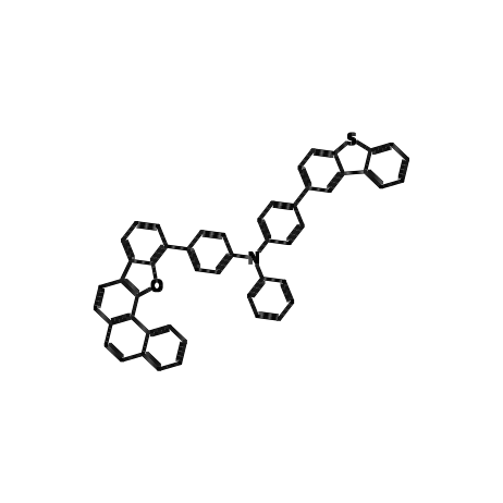 c1ccc(N(c2ccc(-c3ccc4sc5ccccc5c4c3)cc2)c2ccc(-c3cccc4c3oc3c4ccc4ccc5ccccc5c43)cc2)cc1